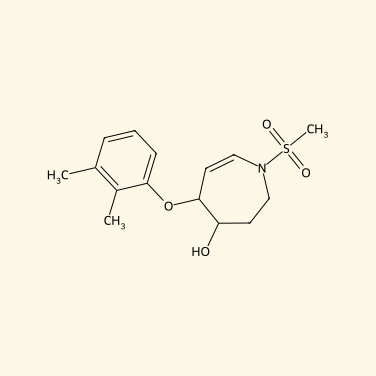 Cc1cccc(OC2C=CN(S(C)(=O)=O)CCC2O)c1C